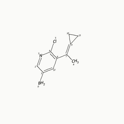 Bc1cnc(Cl)c(C(C)=C2CC2)c1